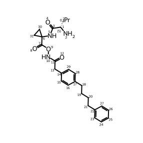 CC(C)[C@H](N)C(=O)NC1(C(=O)ONC(=O)Cc2ccc(CCCCc3ccccc3)cc2)CC1